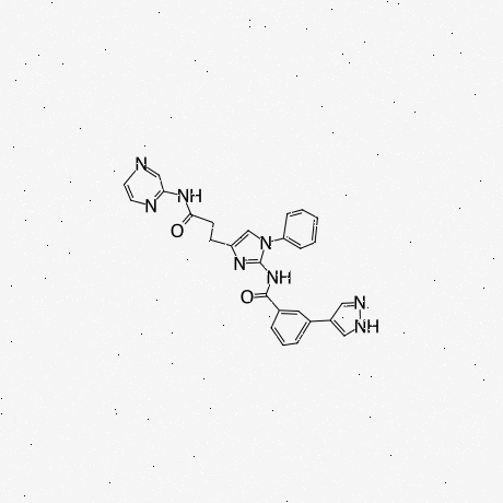 O=C(CCc1cn(-c2ccccc2)c(NC(=O)c2cccc(-c3cn[nH]c3)c2)n1)Nc1cnccn1